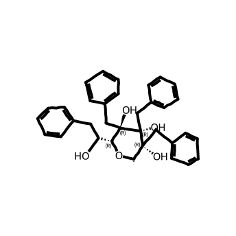 OC(Cc1ccccc1)[C@H]1O[CH][C@](O)(Cc2ccccc2)[C@](O)(Cc2ccccc2)[C@@]1(O)Cc1ccccc1